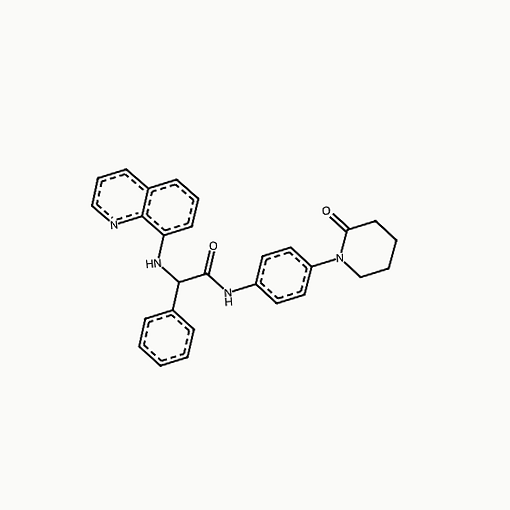 O=C(Nc1ccc(N2CCCCC2=O)cc1)C(Nc1cccc2cccnc12)c1ccccc1